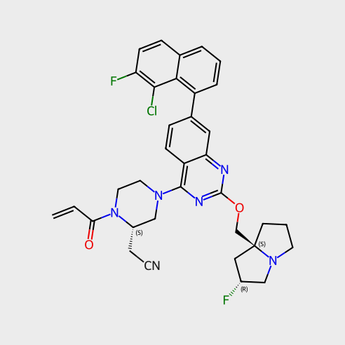 C=CC(=O)N1CCN(c2nc(OC[C@@]34CCCN3C[C@H](F)C4)nc3cc(-c4cccc5ccc(F)c(Cl)c45)ccc23)C[C@@H]1CC#N